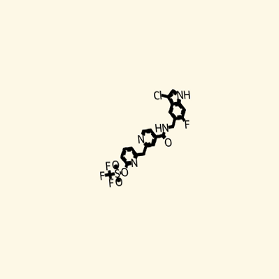 O=C(NCc1cc2c(Cl)c[nH]c2cc1F)c1ccnc(Cc2cccc(OS(=O)(=O)C(F)(F)F)n2)c1